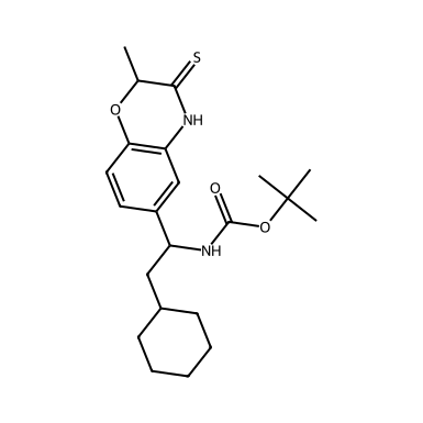 CC1Oc2ccc(C(CC3CCCCC3)NC(=O)OC(C)(C)C)cc2NC1=S